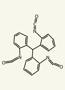 O=C=Nc1ccccc1C(c1ccccc1N=C=O)c1ccccc1N=C=O